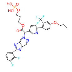 CCCOc1ccc(-c2ccc(C(C(=O)OCCCOP(=O)(O)O)n3cc4nc(-c5cccc(F)c5F)nc-4cn3)cn2)c(C(F)(F)F)c1